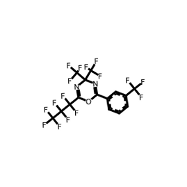 FC(F)(F)c1cccc(C2=NC(C(F)(F)F)(C(F)(F)F)N=C(C(F)(F)C(F)(F)C(F)(F)F)O2)c1